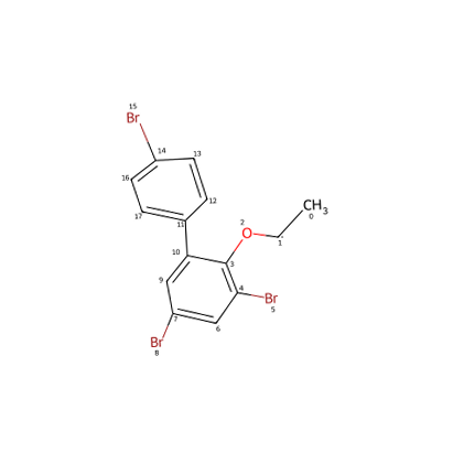 C[CH]Oc1c(Br)cc(Br)cc1-c1ccc(Br)cc1